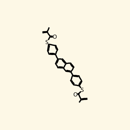 C=C(C)C(=O)Sc1ccc(-c2ccc3cc(-c4ccc(SC(=O)C(=C)C)cc4)ccc3c2)cc1